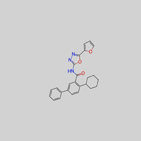 O=C(Nc1nnc(-c2ccco2)o1)c1cc(-c2ccccc2)ccc1C1CCCCC1